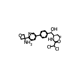 NC1(c2ccc(-c3ccc([C@H](O)[C@@H](CF)NC(=O)C(Cl)Cl)cc3)cn2)COC1